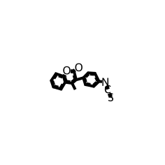 Cc1c(-c2ccc(N=C=S)cc2)c(=O)oc2ccccc12